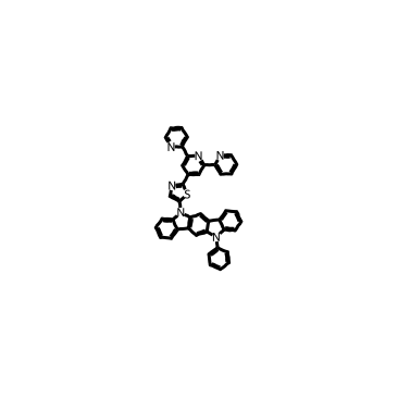 c1ccc(-n2c3ccccc3c3cc4c(cc32)c2ccccc2n4-c2cnc(-c3cc(-c4ccccn4)nc(-c4ccccn4)c3)s2)cc1